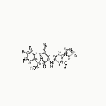 COc1cc(Nc2cc(C#N)nn([C@@H](CO)c3cc(F)c(F)c(F)c3)c2=O)ccc1-n1cnc(C)c1